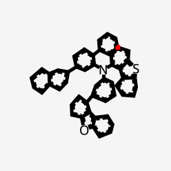 c1ccc(-c2ccc(-c3ccc4ccccc4c3)cc2N(c2cccc(-c3cccc4oc5ccccc5c34)c2)c2cccc3sc4ccccc4c23)cc1